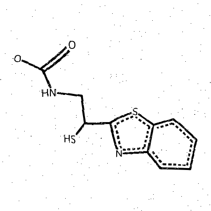 [O]C(=O)NCC(S)c1nc2ccccc2s1